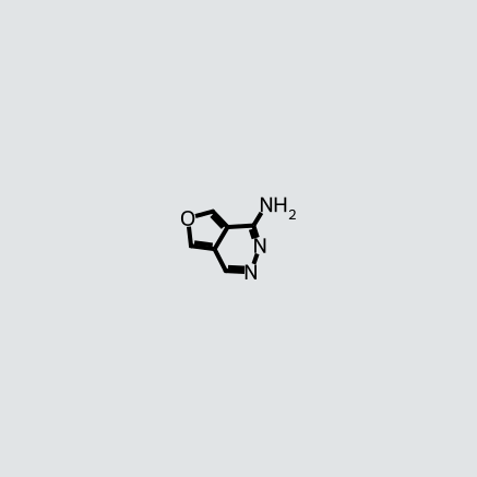 Nc1nncc2cocc12